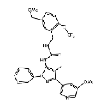 COCc1ccc(OC(F)(F)F)c(CNC(=O)Nc2c(C)c(-c3cncc(OC)c3)nn2-c2ccccc2)c1